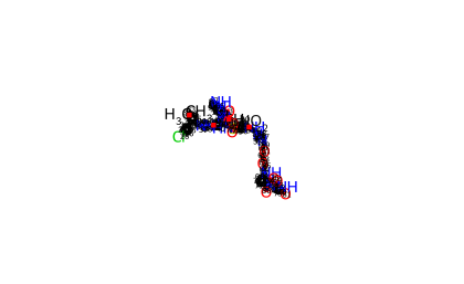 Cn1c(=O)c2nc3[nH]ccc3cc2n1-c1cc(N2CCN(CC3=C(c4ccc(Cl)cc4)CC(C)(C)CC3)CC2)ccc1C(=O)NS(=O)(=O)c1ccc(NCCN2CCN(CCOCCOCCNc3cccc4c3C(=O)N(C3CCC(=O)NC3=O)C4=O)CC2)c([N+](=O)[O-])c1